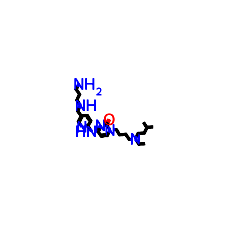 CCN(CCCCn1ccc(Nc2ccc(CNCCCN)cn2)nc1=O)CCC(C)C